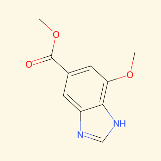 COC(=O)c1cc(OC)c2[nH]cnc2c1